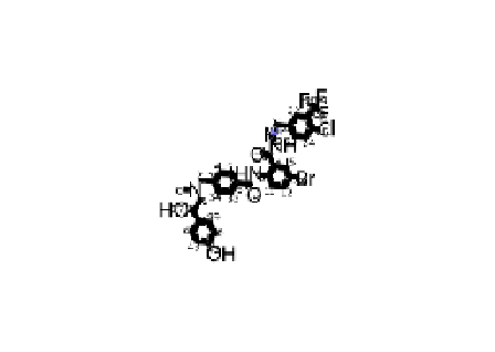 CN(Cc1ccc(C(=O)Nc2ccc(Br)cc2C(=O)N/N=C\c2ccc(Cl)c(C(F)(F)F)c2)cc1)CC(O)c1ccc(O)cc1